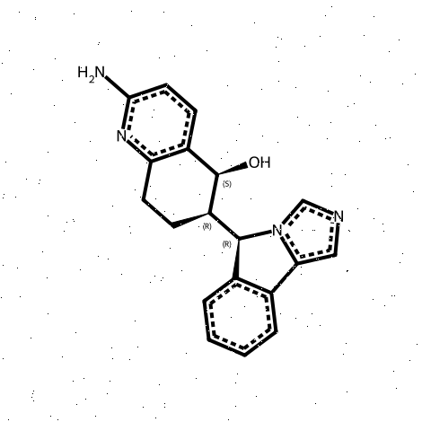 Nc1ccc2c(n1)CC[C@H]([C@@H]1c3ccccc3-c3cncn31)[C@@H]2O